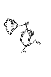 Nc1nn(Nc2ccccc2)cc1O